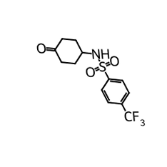 O=C1CCC(NS(=O)(=O)c2ccc(C(F)(F)F)cc2)CC1